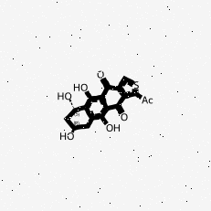 CC(=O)c1scc2c1C(=O)c1c(O)c3c(c(O)c1C2=O)[C@@H](O)C[C@H](O)C3